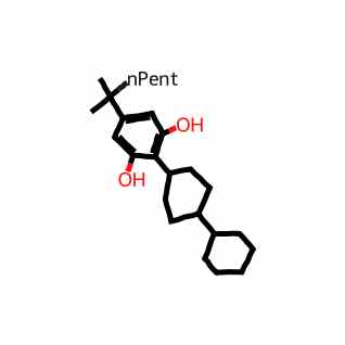 CCCCCC(C)(C)c1cc(O)c(C2CCC(C3CCCCC3)CC2)c(O)c1